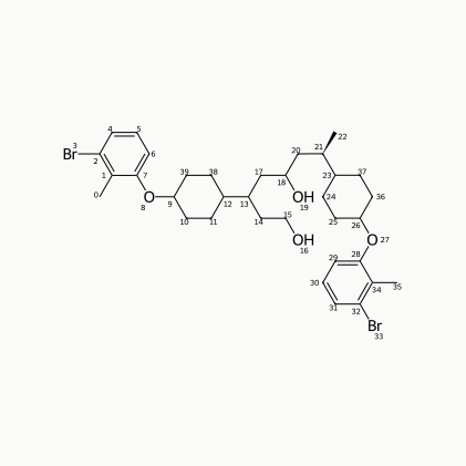 Cc1c(Br)cccc1OC1CCC(C(CCO)CC(O)C[C@@H](C)C2CCC(Oc3cccc(Br)c3C)CC2)CC1